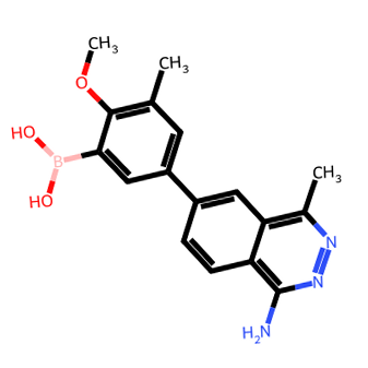 COc1c(C)cc(-c2ccc3c(N)nnc(C)c3c2)cc1B(O)O